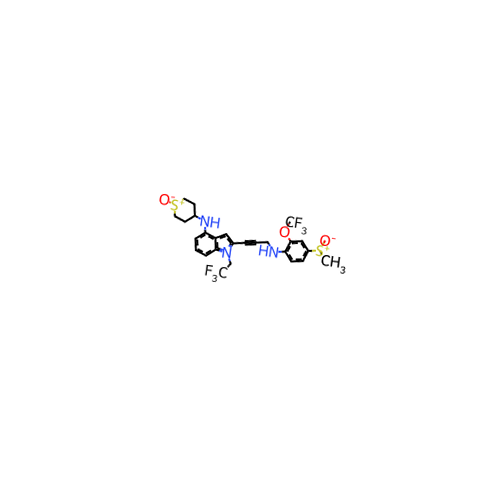 C[S+]([O-])c1ccc(NCC#Cc2cc3c(NC4CC[S+]([O-])CC4)cccc3n2CC(F)(F)F)c(OC(F)(F)F)c1